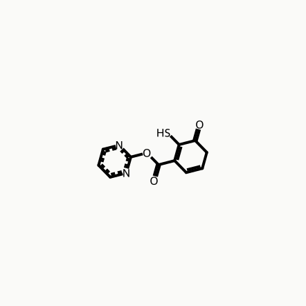 O=C1CC=CC(C(=O)Oc2ncccn2)=C1S